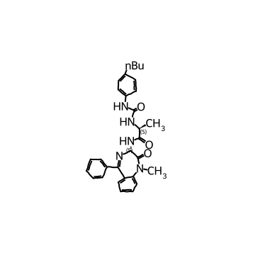 CCCCc1ccc(NC(=O)N[C@@H](C)C(=O)N[C@H]2N=C(c3ccccc3)c3ccccc3N(C)C2=O)cc1